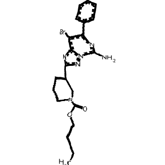 CCCCOC(=O)N1CCCC(c2nc3c(Br)c(-c4ccccc4)nc(N)n3n2)C1